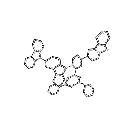 c1ccc(-c2nc(-c3ccccc3)nc(-c3cc(-c4ccc5oc6ccccc6c5c4)ccc3-n3c4ccccc4c4cc(-n5c6ccccc6c6ccccc65)ccc43)n2)cc1